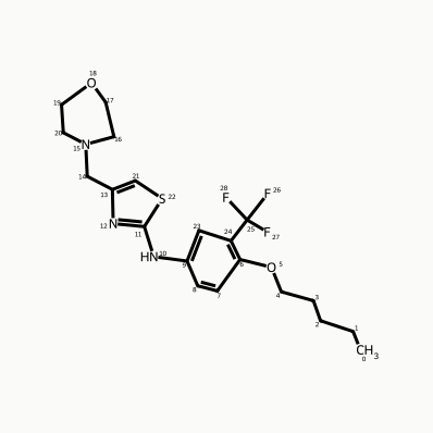 CCCCCOc1ccc(Nc2nc(CN3CCOCC3)cs2)cc1C(F)(F)F